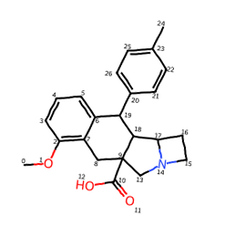 COc1cccc2c1CC1(C(=O)O)CN3CCC3C1C2c1ccc(C)cc1